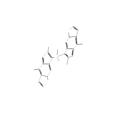 CC1=C([Si](C)(C)C2=C(C)C=C3C2=CC2SC=CC2=C3C)C2=CC3SC=CC3=C(C)C2=C1